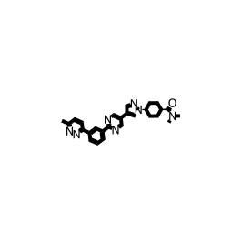 Cc1ccc(-c2cccc(-c3ncc(-c4cnn([C@H]5CC[C@H](C(=O)N(C)C)CC5)c4)cn3)c2)nn1